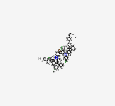 C=CC1=CC=C(C2CC=C(C3(C4C=CC(F)=CC4)c4cc(N(c5ccc(F)cc5)c5ccc6sc7c(c6c5)C=C(N(C5=CC6C(C=C5)c5ccccc5C6(C5C=CC(F)=CC5)C5C=CC(C6=CCC(C=C)C=C6)=CC5)c5ccc(F)cc5)CC7)ccc4C4C=CC=CC43)CC2)CC1